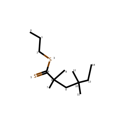 CCCSC(=S)C(C)(C)CC(C)(C)CC